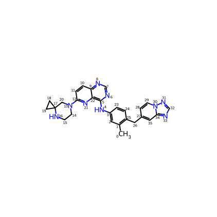 Cc1cc(Nc2ncnc3ccc(N4CCNC5(CC5)C4)nc23)ccc1Cc1ccn2ncnc2c1